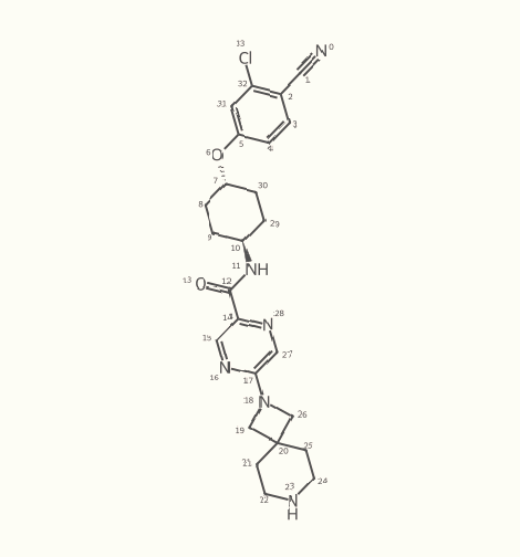 N#Cc1ccc(O[C@H]2CC[C@H](NC(=O)c3cnc(N4CC5(CCNCC5)C4)cn3)CC2)cc1Cl